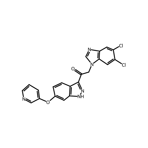 O=C(Cn1cnc2cc(Cl)c(Cl)cc21)c1n[nH]c2cc(Oc3cccnc3)ccc12